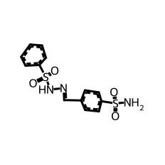 NS(=O)(=O)c1ccc(C=NNS(=O)(=O)c2ccccc2)cc1